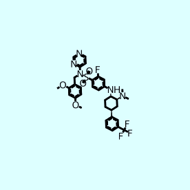 COc1ccc(CN(c2ccncn2)S(=O)(=O)c2ccc(N[C@H]3CC[C@H](c4cccc(C(F)(F)F)c4)C[C@@H]3N(C)C)cc2F)c(OC)c1